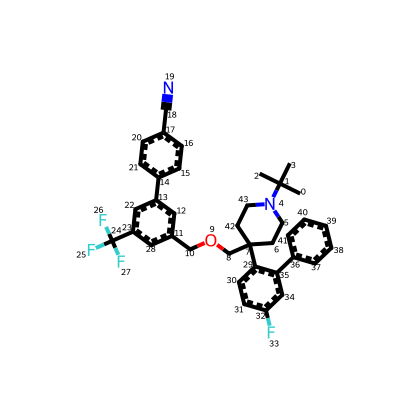 CC(C)(C)N1CCC(COCc2cc(-c3ccc(C#N)cc3)cc(C(F)(F)F)c2)(c2ccc(F)cc2-c2ccccc2)CC1